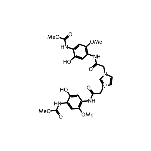 COC(=O)Nc1cc(OC)c(NC(=O)Cn2cc[n+](CC(=O)Nc3cc(O)c(NC(=O)OC)cc3OC)c2)cc1O